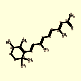 CC1=C(/C=C/C(C)=C/C=C/C(C)=C/C(N)=O)C(C)(C)CCC1O